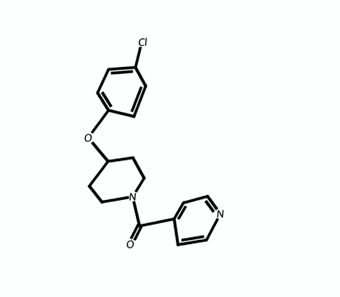 O=C(c1ccncc1)N1CCC(Oc2ccc(Cl)cc2)CC1